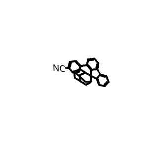 N#Cc1ccc(-c2cccc3c2C2(c4ccccc4-3)C3CC4CC(C3)CC2C4)cc1